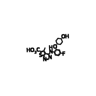 Cc1c(C(=O)O)sc2ncnc(Nc3ccc(F)cc3O[C@H]3CC[C@H](O)CC3)c12